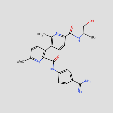 COc1ccc(-c2ccc(C(=O)NC(CO)C(C)(C)C)nc2C(=O)O)c(C(=O)Nc2ccc(C(=N)N)cc2)n1